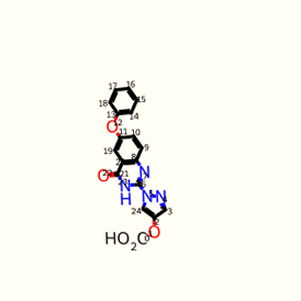 O=C(O)Oc1cnn(-c2nc3ccc(Oc4ccccc4)cc3c(=O)[nH]2)c1